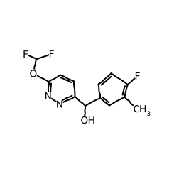 Cc1cc(C(O)c2ccc(OC(F)F)nn2)ccc1F